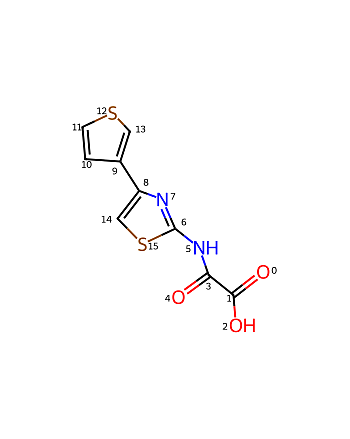 O=C(O)C(=O)Nc1nc(-c2ccsc2)cs1